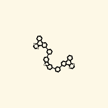 c1cc(-c2ccc3oc4ccc(-c5cccc(-c6ccc7c8ccccc8c8nccnc8c7c6)c5)cc4c3c2)cc(-c2ccc3c4ccccc4c4nccnc4c3c2)c1